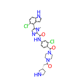 Cn1c(-c2c(Cl)ccc3[nH]ccc23)cnc1C(=O)Nc1ccc(C(=O)N2CCN(C(=O)C[C@@H]3CCNC3)CC2)c(Cl)c1